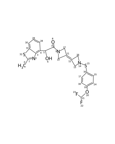 Cc1nc2c(C(O)C(=O)N3CC(=C4CN(Sc5ccc(OC(F)F)cc5)C4)C3)cccc2s1